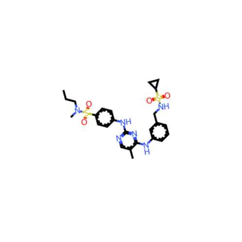 CCCN(C)S(=O)(=O)c1ccc(Nc2ncc(C)c(Nc3cccc(CNS(=O)(=O)C4CC4)c3)n2)cc1